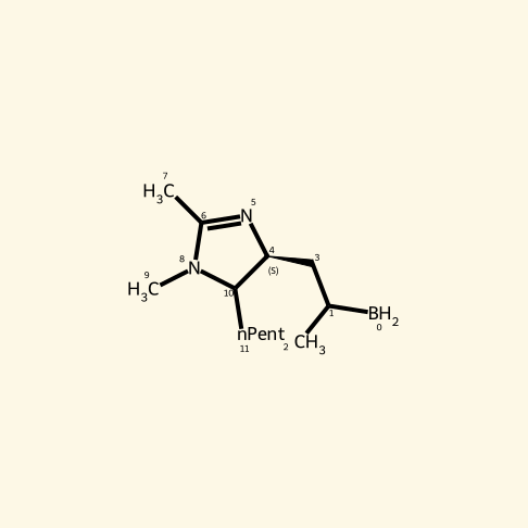 BC(C)C[C@@H]1N=C(C)N(C)C1CCCCC